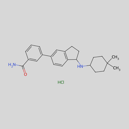 CC1(C)CCC(NC2CCc3cc(-c4cccc(C(N)=O)c4)ccc32)CC1.Cl